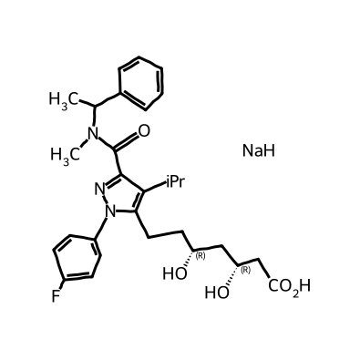 CC(C)c1c(C(=O)N(C)C(C)c2ccccc2)nn(-c2ccc(F)cc2)c1CC[C@@H](O)C[C@@H](O)CC(=O)O.[NaH]